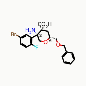 N[C@@]1(c2cc(Br)ccc2F)CO[C@@H](COCc2ccccc2)C[C@H]1C(=O)O